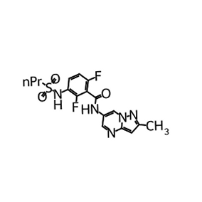 CCCS(=O)(=O)Nc1ccc(F)c(C(=O)Nc2cnc3cc(C)nn3c2)c1F